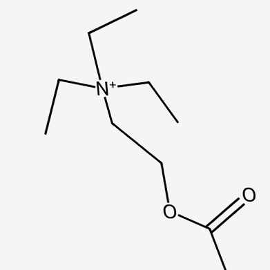 CC[N+](CC)(CC)CCOC(C)=O